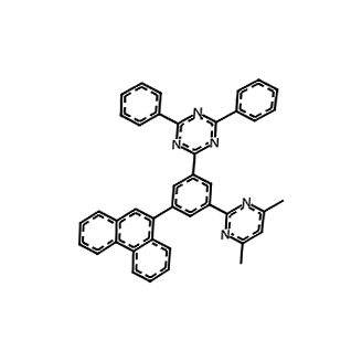 Cc1cc(C)nc(-c2cc(-c3nc(-c4ccccc4)nc(-c4ccccc4)n3)cc(-c3cc4ccccc4c4ccccc34)c2)n1